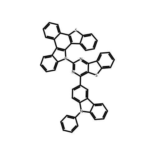 c1ccc(-n2c3ccccc3c3cc(-c4nc(-n5c6ccccc6c6c7ccccc7c7sc8ccccc8c7c65)nc5c4sc4ccccc45)ccc32)cc1